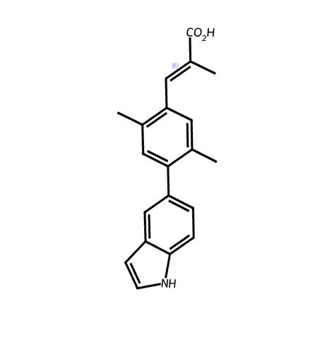 C/C(=C\c1cc(C)c(-c2ccc3[nH]ccc3c2)cc1C)C(=O)O